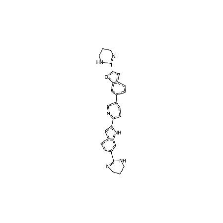 c1cc2cc(-c3ccc(-c4ccc5cc(C6=NCCCN6)oc5c4)cn3)[nH]c2cc1C1=NCCCN1